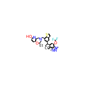 CC[C@@H]1CN(Cc2cc(C(CC(=O)O)c3cc(OC(F)F)c4c(nnn4C)c3C)cc3ccsc23)Cc2nc(O)ccc2O1